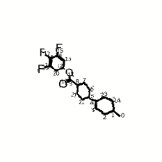 CC1CCC(C2CCC(C(=O)O[C@H]3C=C(F)C(F)=C(F)C3)CC2)CC1